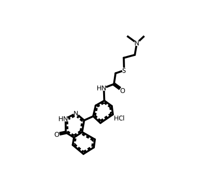 CN(C)CCSCC(=O)Nc1cccc(-c2n[nH]c(=O)c3ccccc23)c1.Cl